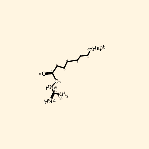 CCCCCCCCCCCCCC(=O)ONC(=N)N